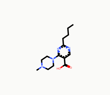 CCCCc1ncc(C(=O)O)c(N2CCN(C)CC2)n1